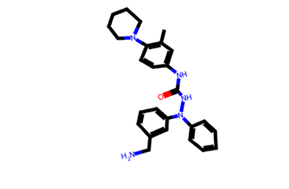 Cc1cc(NC(=O)NN(c2ccccc2)c2cccc(CN)c2)ccc1N1CCCCC1